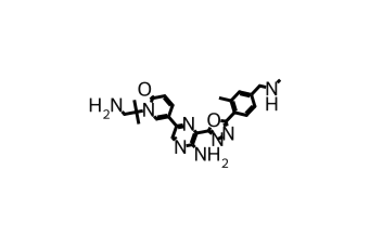 CNCc1ccc(-c2nnc(-c3nc(-c4ccc(=O)n(C(C)(C)CN)c4)cnc3N)o2)c(C)c1